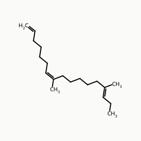 C=CCCCCC=C(C)CCCCCC(C)=CCC